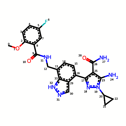 COc1ccc(F)cc1C(=O)NCc1ccc(-c2nn(C3CC3)c(N)c2C(N)=O)c2cn[nH]c12